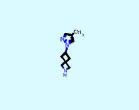 Cc1cnn(C2CC3(CNC3)C2)c1